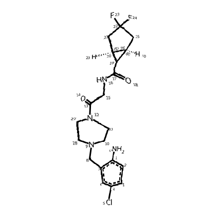 Nc1ccc(Cl)cc1CN1CCN(C(=O)CNC(=O)C2[C@H]3CC(F)(F)C[C@@H]23)CC1